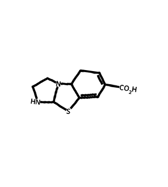 O=C(O)C1=CCC2C(=C1)SC1NCCN12